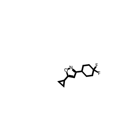 FC1(F)CCC(c2cc(C3CC3)on2)CC1